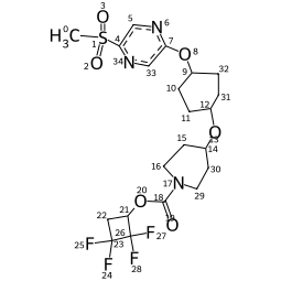 CS(=O)(=O)c1cnc(OC2CCC(OC3CCN(C(=O)OC4CC(F)(F)C4(F)F)CC3)CC2)cn1